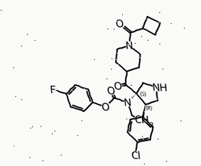 CCN(C(=O)Oc1ccc(F)cc1)[C@]1(C(=O)C2CCN(C(=O)C3CCC3)CC2)CNC[C@H]1c1ccc(Cl)cc1